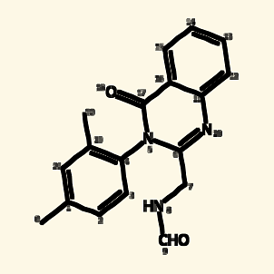 Cc1ccc(-n2c(CNC=O)nc3ccccc3c2=O)c(C)c1